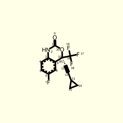 O=C1Nc2ccc(F)cc2[C@](C#CC2CC2)(C(F)(F)F)O1